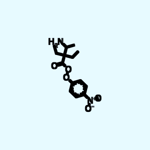 CCC(CC)(C(=O)OOc1ccc([N+](=O)[O-])cc1)C(C)N